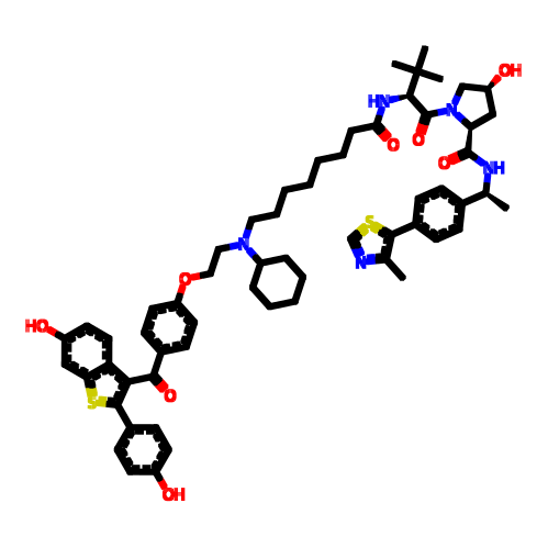 Cc1ncsc1-c1ccc([C@H](C)NC(=O)[C@@H]2C[C@H](O)CN2C(=O)[C@@H](NC(=O)CCCCCCCN(CCOc2ccc(C(=O)c3c(-c4ccc(O)cc4)sc4cc(O)ccc34)cc2)C2CCCCC2)C(C)(C)C)cc1